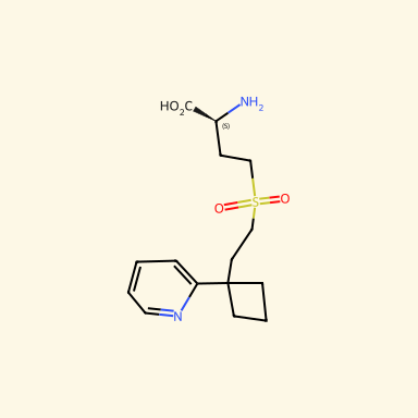 N[C@@H](CCS(=O)(=O)CCC1(c2ccccn2)CCC1)C(=O)O